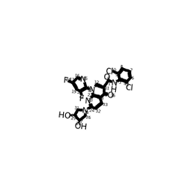 O=C(Nc1c(Cl)cccc1Cl)c1cn(-c2ncc(F)cc2F)c2nc(N3C[C@H](O)[C@@H](O)C3)ccc2c1=O